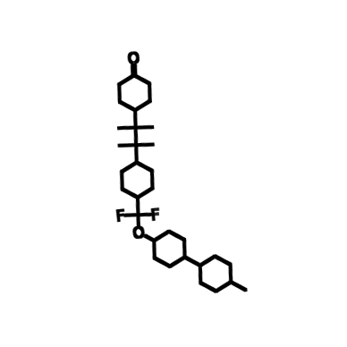 CC1CCC(C2CCC(OC(F)(F)C3CCC(C(C)(C)C(C)(C)C4CCC(=O)CC4)CC3)CC2)CC1